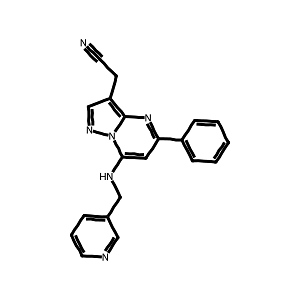 N#CCc1cnn2c(NCc3cccnc3)cc(-c3ccccc3)nc12